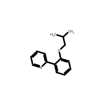 CC(C)COc1ccccc1-c1ccccn1